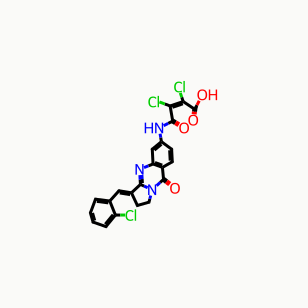 O=C(O)/C(Cl)=C(/Cl)C(=O)Nc1ccc2c(=O)n3c(nc2c1)/C(=C/c1ccccc1Cl)CC3